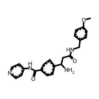 COc1ccc(CNC(=O)CC(N)c2ccc(C(=O)Nc3ccncc3)cc2)cc1